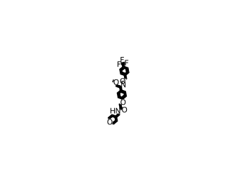 COCC(=NOCc1ccc(C(F)(F)F)cc1)c1ccc(OCC(=O)NCC2CCOCC2)cc1